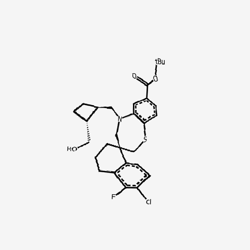 CC(C)(C)OC(=O)c1ccc2c(c1)N(C[C@@H]1CC[C@H]1CO)C[C@@]1(CCCc3c1ccc(Cl)c3F)CS2